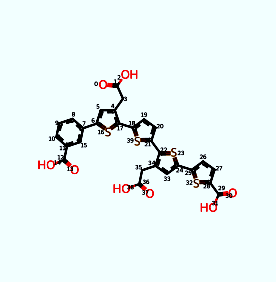 O=C(O)Cc1cc(-c2cccc(C(=O)O)c2)sc1-c1ccc(-c2sc(-c3ccc(C(=O)O)s3)cc2CC(=O)O)s1